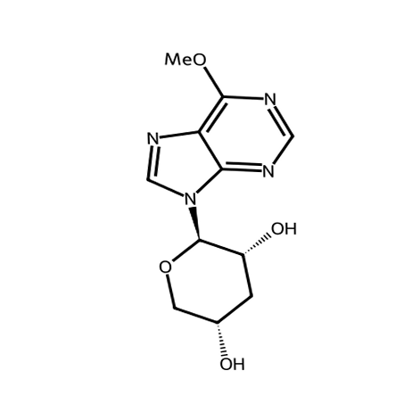 COc1ncnc2c1ncn2[C@@H]1OC[C@@H](O)C[C@H]1O